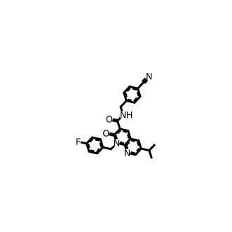 CC(C)c1cnc2c(c1)cc(C(=O)NCc1ccc(C#N)cc1)c(=O)n2Cc1ccc(F)cc1